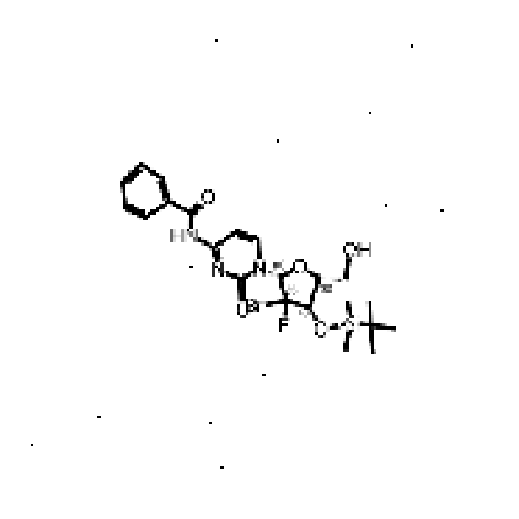 CC(C)(C)[Si](C)(C)O[C@@H]1[C@@H](CO)O[C@@H](n2ccc(NC(=O)c3ccccc3)nc2=O)[C@@]1(F)Br